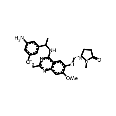 COc1cc2nc(C)nc(NC(C)c3cc(N)cc(C(F)(F)F)c3)c2cc1OC[C@@H]1CCC(=O)N1C